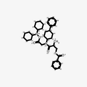 CC(CSC(=O)c1ccccc1)C(=O)N(CC(=O)ON(C1CCCCC1)C1CCCCC1)C1CCC(c2ccccc2)CC1